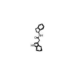 O=C(Cc1c[nH]c2ccccc12)NC1CCc2ccccc21